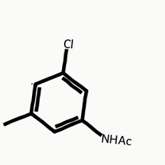 CC(=O)Nc1cc(C)[c]c(Cl)c1